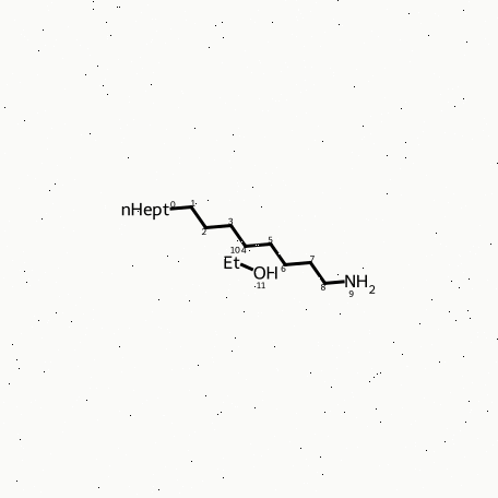 CCCCCCCCCCCCCCCN.CCO